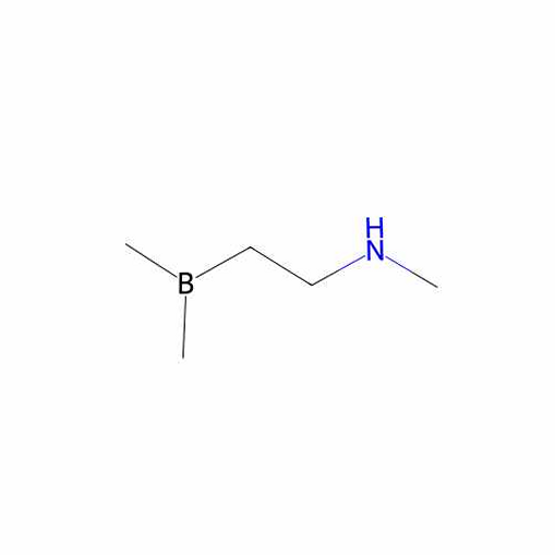 CNCCB(C)C